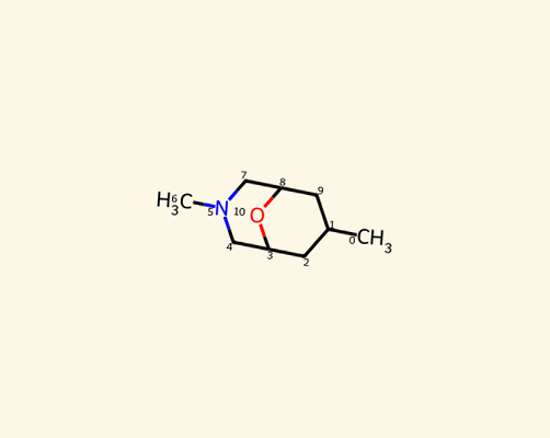 CC1CC2CN(C)CC(C1)O2